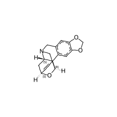 C1=CC23c4cc5c(cc4CN4C[C@@H]2O[C@H]1C[C@H]43)OCO5